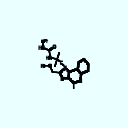 CCCNC(=O)NC(C)(C)Cn1c(COCC)nc2c(C)nc3ccccc3c21